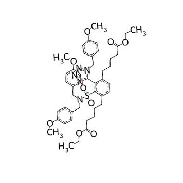 CCOC(=O)CCCCc1ccc(CCCCC(=O)OCC)c(S(=O)(=O)N(Cc2ccc(OC)cc2)Cc2ccc(OC)cc2)c1-c1nnnn1Cc1ccc(OC)cc1